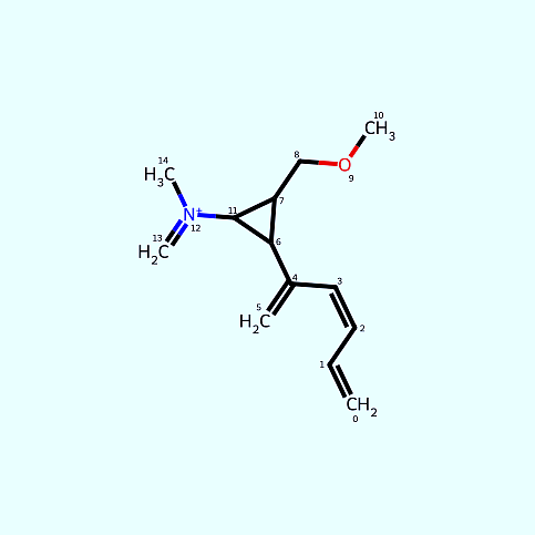 C=C/C=C\C(=C)C1C(COC)C1[N+](=C)C